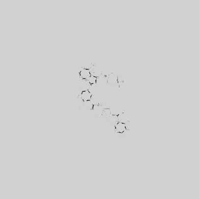 COc1ncc(-c2cc(CN3CCC(F)(F)CC3)c3c(N)ncnn23)cc1C(=O)N[C@@H]1CN(C(=O)c2cnccc2Cl)C[C@@H]1F